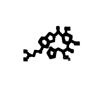 CCN(CC)CCOc1ccc2c(c1)CN(C(=O)c1cc(C(=O)N(C)Cc3ccco3)c(O)cc1O)C2